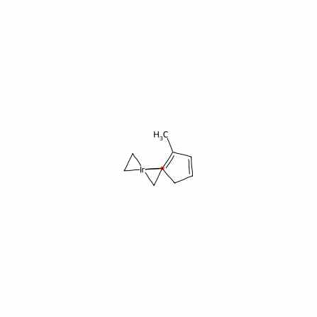 CC1=[C]([Ir]23([CH2][CH2]2)[CH2][CH2]3)CC=C1